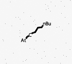 CCCCCCCCCC[At]